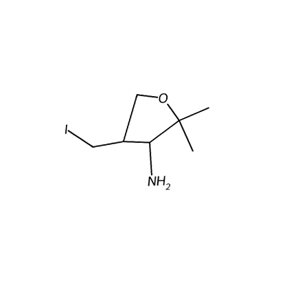 CC1(C)OCC(CI)C1N